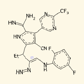 CCC(/C(=C/Nc1cc(F)ccc1F)N=N)c1[nH]c(C(=N)N)c(-c2cnc(C(F)(F)F)nc2)c1C#N